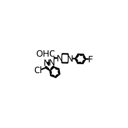 O=CC(N1CCN(c2ccc(F)cc2)CC1)n1nc(Cl)c2ccccc21